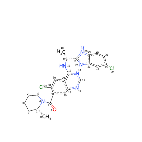 C[C@@H]1CCCCN1C(=O)c1cc2ncnc(N[C@H](C)c3nc4cc(Cl)ccc4[nH]3)c2cc1Cl